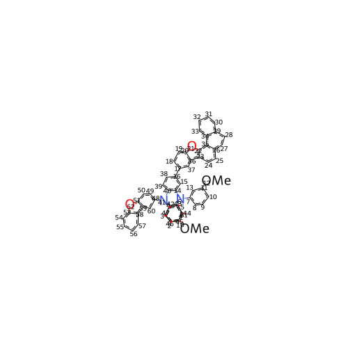 COc1cccc(N(c2cccc(OC)c2)c2cc(-c3ccc4oc5c(ccc6ccc7ccccc7c65)c4c3)ccc2N(c2ccccc2)c2ccc3oc4ccccc4c3c2)c1